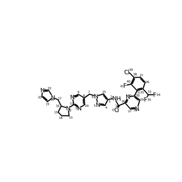 O=C(Nc1cnn(Cc2cnc(N3CCCC3Cn3ccnc3)nc2)c1)c1cncc(-c2c(C(F)F)ccc(Cl)c2F)n1